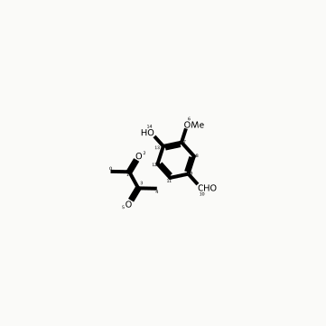 CC(=O)C(C)=O.COc1cc(C=O)ccc1O